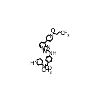 CN(C(=O)c1ccc(Nc2nc3c(C4=CCN(C(=O)CCC(F)(F)F)CC4)cccn3n2)cc1)C1CCCNC1